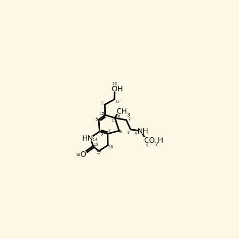 CC1(CCNC(=O)O)CC2=C(C=C1CCO)NC(=O)CC2